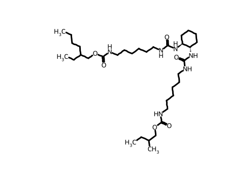 CCCCC(CC)COC(=O)NCCCCCCNC(=O)N[C@H]1CCCC[C@@H]1NC(=O)NCCCCCCNC(=O)OCC(C)CC